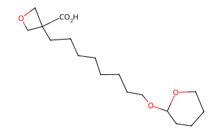 O=C(O)C1(CCCCCCCCOC2CCCCO2)COC1